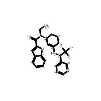 CCN(C(=O)c1cc2ccccc2[nH]1)[C@@H]1C=C(N[C@H](c2cncnc2)C(F)(F)F)CCC1